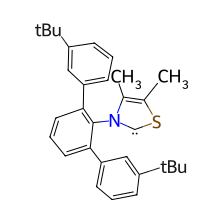 CC1=C(C)N(c2c(-c3cccc(C(C)(C)C)c3)cccc2-c2cccc(C(C)(C)C)c2)[C]S1